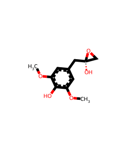 COc1cc(C[C@]2(O)CO2)cc(OC)c1O